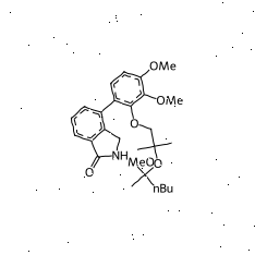 CCCCC(C)(OC)OC(C)(C)COc1c(-c2cccc3c2CNC3=O)ccc(OC)c1OC